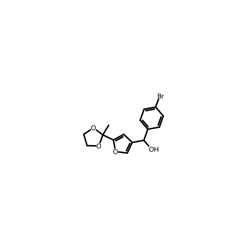 CC1(c2cc(C(O)c3ccc(Br)cc3)co2)OCCO1